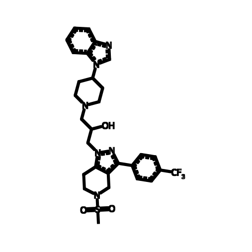 CS(=O)(=O)N1CCc2c(c(-c3ccc(C(F)(F)F)cc3)nn2CC(O)CN2CCC(n3cnc4ccccc43)CC2)C1